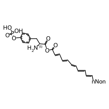 CCCCCCCCCC=CC=CC=CC=CC=CC(=O)OC(=O)[C@@H](N)Cc1ccc(OP(=O)(O)O)cc1